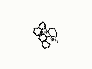 NC1(c2cccc3cccnc23)CCCCC1(N)c1cccc2cccnc12